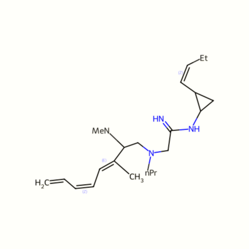 C=C/C=C\C=C(/C)C(CN(CCC)CC(=N)NC1CC1/C=C\CC)NC